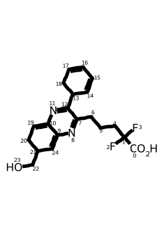 O=C(O)C(F)(F)CCCc1nc2c(nc1C1C=CC=CC1)=CCC(CO)C=2